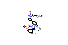 COCCCn1c(=O)oc2ccc(-c3ccc(CC(C#N)NC(=O)C4(NC(=O)OC(C)(C)C)CCCC4)cc3)cc21